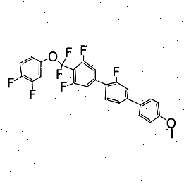 Fc1ccc(OC(F)(F)c2c(F)cc(-c3ccc(-c4ccc(OI)cc4)cc3F)cc2F)cc1F